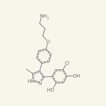 Cc1[nH]nc(-c2cc(Cl)c(O)cc2O)c1-c1ccc(OCCCN)cc1